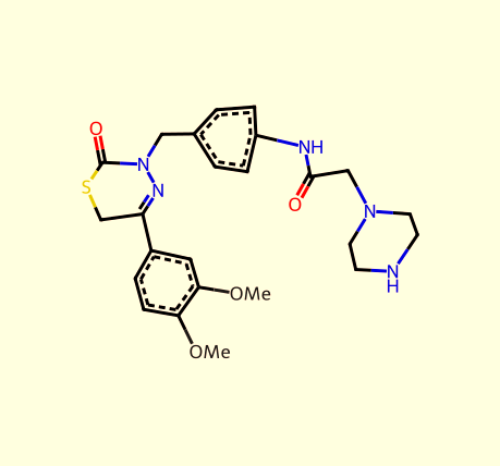 COc1ccc(C2=NN(Cc3ccc(NC(=O)CN4CCNCC4)cc3)C(=O)SC2)cc1OC